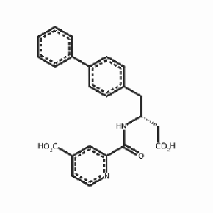 O=C(O)C[C@@H](Cc1ccc(-c2ccccc2)cc1)NC(=O)c1cc(C(=O)O)ccn1